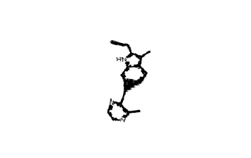 C=Cc1[nH]c2cc(-c3nccnc3C)ccc2c1C